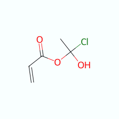 C=CC(=O)OC(C)(O)Cl